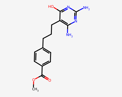 COC(=O)c1ccc(CCCc2c(N)nc(N)nc2O)cc1